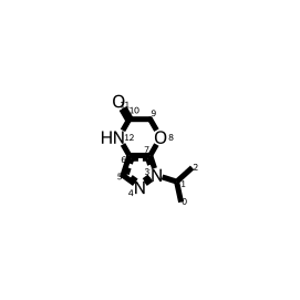 CC(C)n1ncc2c1OCC(=O)N2